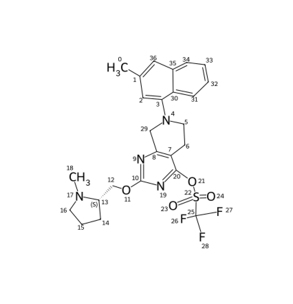 Cc1cc(N2CCc3c(nc(OC[C@@H]4CCCN4C)nc3OS(=O)(=O)C(F)(F)F)C2)c2ccccc2c1